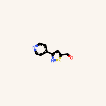 O=Cc1cc(-c2ccncc2)ns1